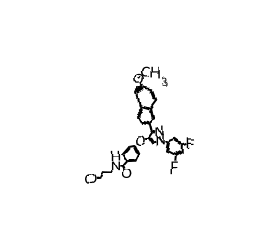 COc1ccc2cc(-c3nn(-c4cc(F)cc(F)c4)cc3Oc3ccc(C(=O)NCCC=O)cc3)ccc2c1